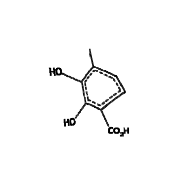 Cc1ccc(C(=O)O)c(O)c1O